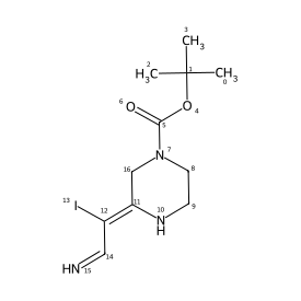 CC(C)(C)OC(=O)N1CCN/C(=C(/I)C=N)C1